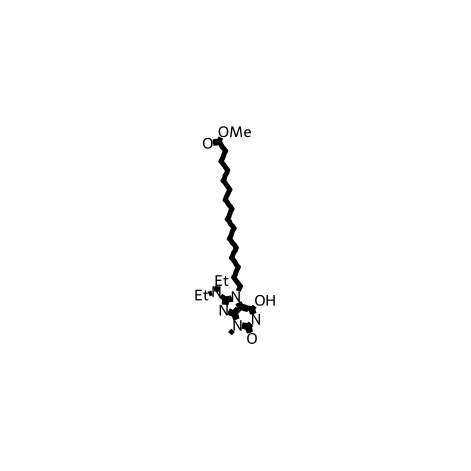 CCN(CC)c1nc2c(c(O)nc(=O)n2C)n1CCCCCCCCCCCCCCCC(=O)OC